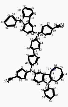 N#Cc1ccc(N(c2ccc(-c3ccc(N(c4ccc(C#N)cc4)c4ccc5c(c4)c4ccccc4n5-c4ccccc4)cc3)cc2)c2ccc3c(c2)c2c(n3-c3ccccc3)CC#CC/C=C\2)cc1